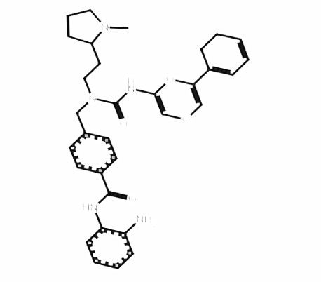 CN1CCCC1CCN(Cc1ccc(C(=O)Nc2ccccc2N)cc1)C(=O)NC1=COC=C(C2=CC=CCC2)O1